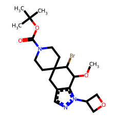 COC1c2c(cnn2C2COC2)CC2(CCN(C(=O)OC(C)(C)C)CC2)C1Br